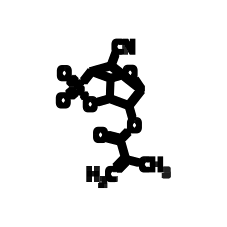 C=C(C)C(=O)OC1C2OC3C1OS(=O)(=O)C3C2C#N